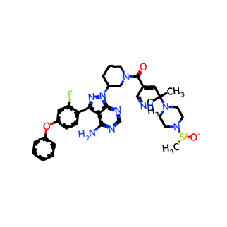 C[S+]([O-])N1CCN(C(C)(C)/C=C(\C=N)C(=O)N2CCCC(n3nc(-c4ccc(Oc5ccccc5)cc4F)c4c(N)ncnc43)C2)CC1